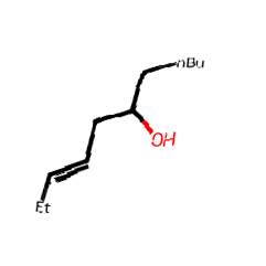 CCC=CCC(O)CCCCC